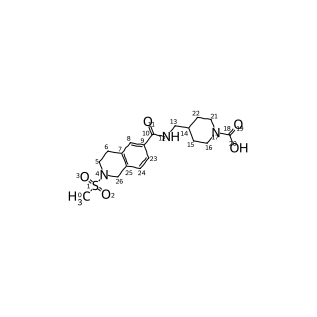 CS(=O)(=O)N1CCc2cc(C(=O)NCC3CCN(C(=O)O)CC3)ccc2C1